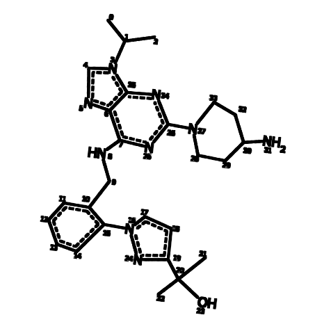 CC(C)n1cnc2c(NCc3ccccc3-n3ccc(C(C)(C)O)n3)nc(N3CCC(N)CC3)nc21